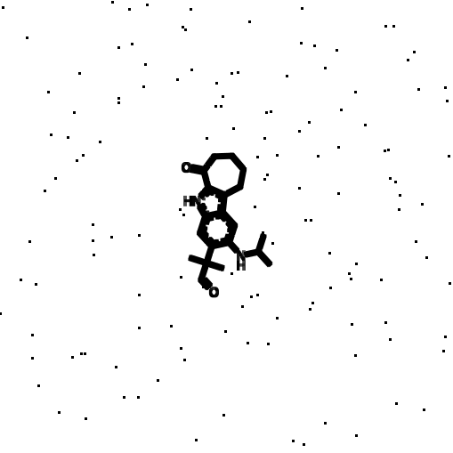 CC(C)Nc1cc2c3c([nH]c2cc1C(C)(C)C=O)C(=O)CCCC3